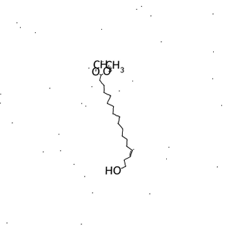 COC(CCCCCCCCCCCCC/C=C\CCO)OC